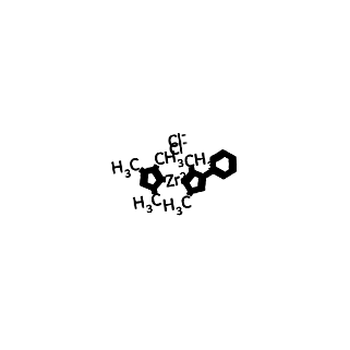 CC1=CC(C)[C]([Zr+2][C]2=C(C)C(c3ccccc3)=CC2C)=C1C.[Cl-].[Cl-]